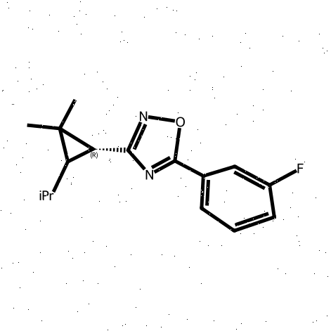 CC(C)C1[C@@H](c2noc(-c3cccc(F)c3)n2)C1(C)C